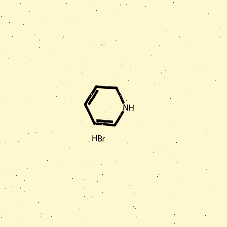 Br.C1=CCNC=C1